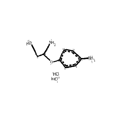 Cl.Cl.Nc1ccc(OC(N)CO)cc1